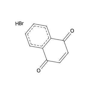 Br.O=C1C=CC(=O)c2ccccc21